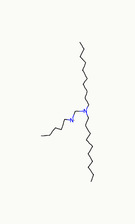 CCCCCCCCCCN(CCCCCCCCCC)C[N]CCCCC